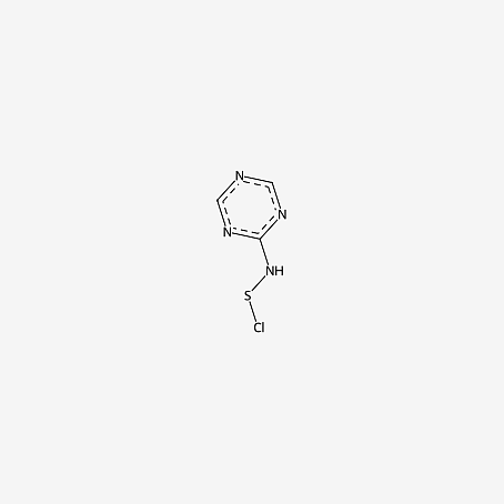 ClSNc1ncncn1